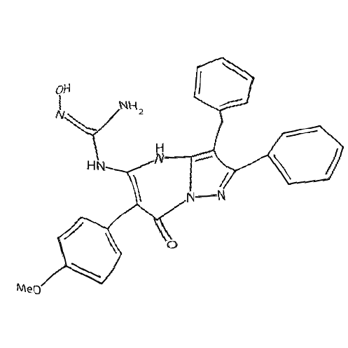 COc1ccc(-c2c(N/C(N)=N/O)[nH]c3c(-c4ccccc4)c(-c4ccccc4)nn3c2=O)cc1